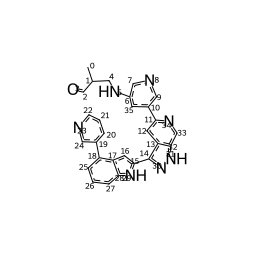 CC(C=O)CNc1cncc(-c2cc3c(-c4cc5c(-c6cccnc6)cccc5[nH]4)n[nH]c3cn2)c1